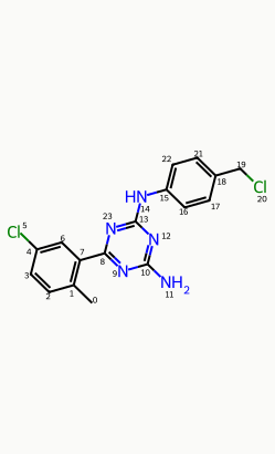 Cc1ccc(Cl)cc1-c1nc(N)nc(Nc2ccc(CCl)cc2)n1